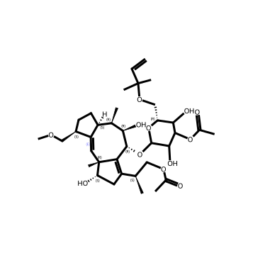 C=CC(C)(C)OC[C@H]1OC(O[C@@H]2C3=C([C@H](C)COC(C)=O)C[C@H](O)[C@]3(C)/C=C3/[C@@H](COC)CC[C@H]3[C@@H](C)[C@H]2O)C(O)C(OC(C)=O)C1O